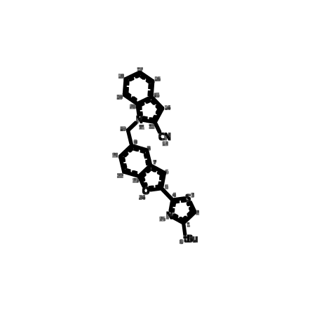 CC(C)(C)c1csc(-c2cc3cc(Cn4c(C#N)cc5ccccc54)ccc3o2)n1